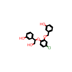 OCC(Oc1ccc(Cl)cc1OCc1cccc(O)c1)c1cccc(O)c1